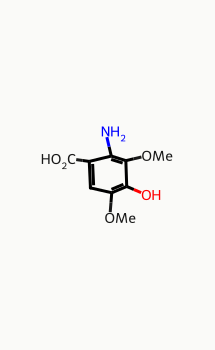 COc1cc(C(=O)O)c(N)c(OC)c1O